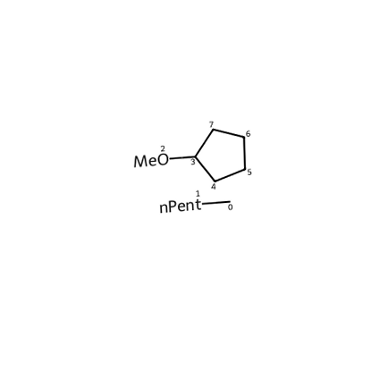 CCCCCC.COC1CCCC1